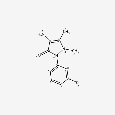 Cc1c(N)c(=O)n(-c2cccc(Cl)c2)n1C